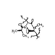 C=C(C)C(=O)OC(C(=O)N(C)C(=O)C(F)(F)F)C(F)(F)F